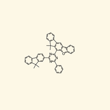 CC1(C)c2ccccc2-c2ccc(-c3nc(-c4ccccc4)nc(-c4c5c(cc6c4oc4ccccc46)-c4ccccc4C5(C)C)n3)cc21